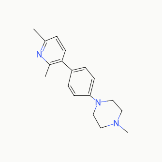 Cc1ccc(-c2ccc(N3CCN(C)CC3)cc2)c(C)n1